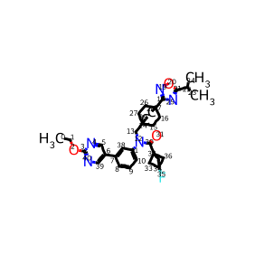 CCOc1ncc(-c2cccc(N(CC34CCC(c5noc(C(C)C)n5)(CC3)CC4)C(=O)C34CC(F)(C3)C4)c2)cn1